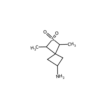 CC1C2(CC(N)C2)C(C)S1(=O)=O